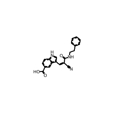 N#C/C(=C/c1c[nH]c2ccc(C(=O)O)cc12)C(=O)NCCc1ccccc1